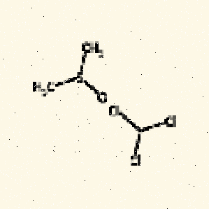 C[S+](C)[O-].ClC(Cl)Cl